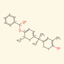 CC1=C(O)CCC(C(C)(C)C2=CC=C(OC(O)c3ccccc3)C(C)C2)=C1